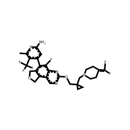 Cc1nc(N)cc(-c2c3c(c4cnc(OCC5(CN6CCC(=C(F)F)CC6)CC5)nc4c2F)COC3)c1C(F)(F)F